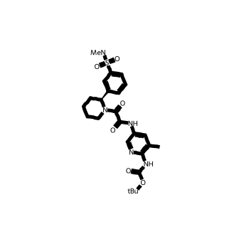 CNS(=O)(=O)c1cccc([C@@H]2CCCCN2C(=O)C(=O)Nc2cnc(NC(=O)OC(C)(C)C)c(C)c2)c1